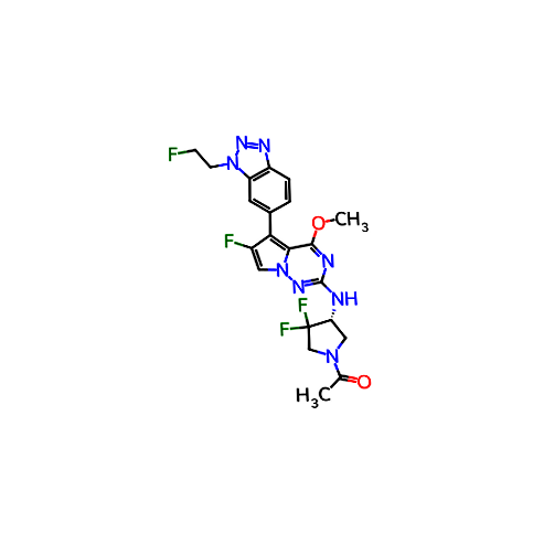 COc1nc(N[C@@H]2CN(C(C)=O)CC2(F)F)nn2cc(F)c(-c3ccc4nnn(CCF)c4c3)c12